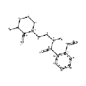 CC1CCCN(CCN(C)C(=O)c2ccccc2C=O)C1=O